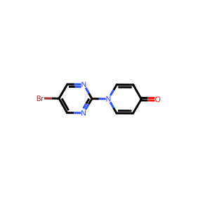 O=c1ccn(-c2ncc(Br)cn2)cc1